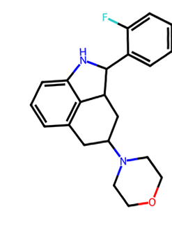 Fc1ccccc1C1Nc2cccc3c2C1CC(N1CCOCC1)C3